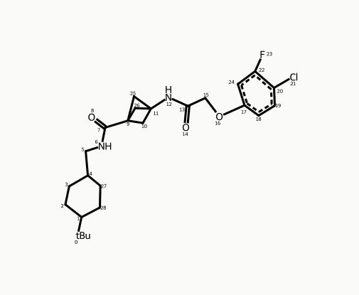 CC(C)(C)C1CCC(CNC(=O)C23CC(NC(=O)COc4ccc(Cl)c(F)c4)(C2)C3)CC1